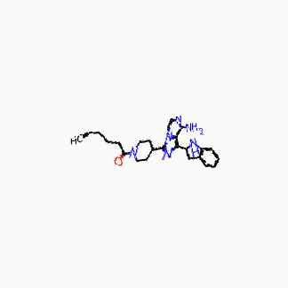 C#CCCCC(=O)N1CCC(c2nc(C3Cc4ccccc4N3)c3c(N)nccn23)CC1